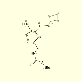 CC(C)(C)OC(=O)NCc1ccc(N)c(OCC2CCC2)c1